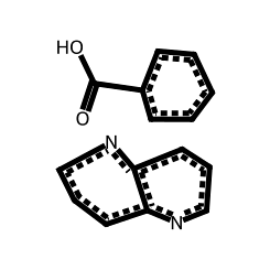 O=C(O)c1ccccc1.c1cnc2cccnc2c1